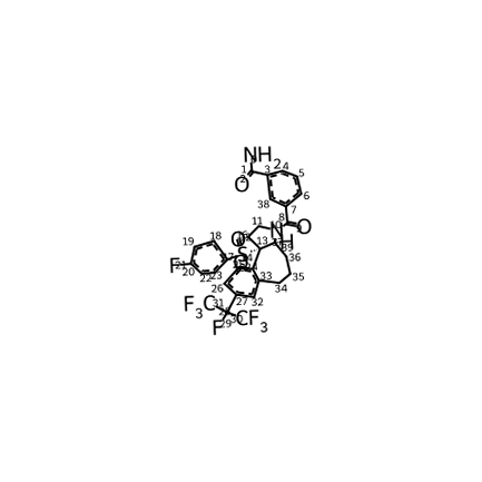 NC(=O)c1cccc(C(=O)N2CC[C@]3(S(=O)(=O)c4ccc(F)cc4)c4ccc(C(F)(C(F)(F)F)C(F)(F)F)cc4CCC[C@H]23)c1